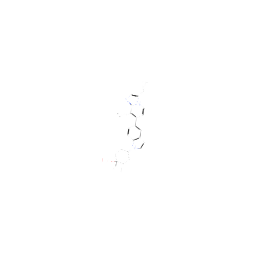 CC1(O)CCC(n2ccc3cc(-c4ccn5c(CC(F)(F)F)cnc5c4C#N)ccc32)CC1